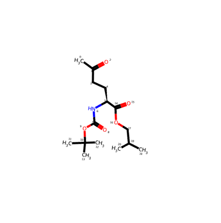 CC(=O)CC[C@H](NC(=O)OC(C)(C)C)C(=O)OCC(C)C